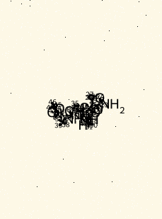 CN(C[C@@H](NC(=O)N[C@H](C(=O)N1C[C@H]2[C@@H]([C@H]1C(=O)NC(C(=O)C(N)=O)C1CCC1)C2(C)C)C(C)(C)C)C(C)(C)C)S(=O)(=O)C(C)(C)C